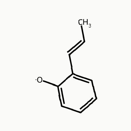 CC=Cc1ccccc1[O]